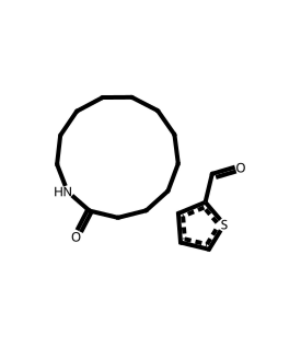 O=C1CCCCCCCCCCCN1.O=Cc1cccs1